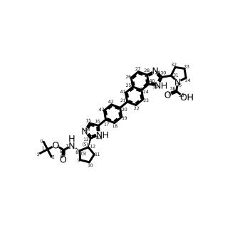 CC(C)(C)OC(=O)N[C@H]1CCC[C@@H]1c1ncc(-c2ccc(-c3ccc4c(ccc5nc(C6CCCN6C(=O)O)[nH]c54)c3)cc2)[nH]1